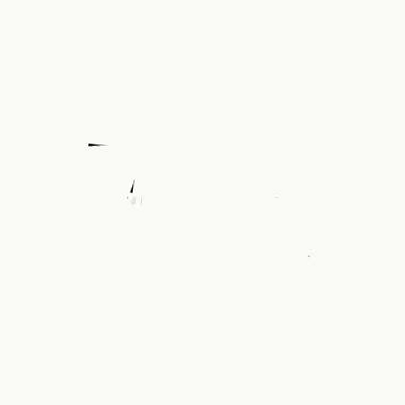 C[C@@H](O)[C@H](N)C(=O)OC(=O)CC(O)C(=O)O